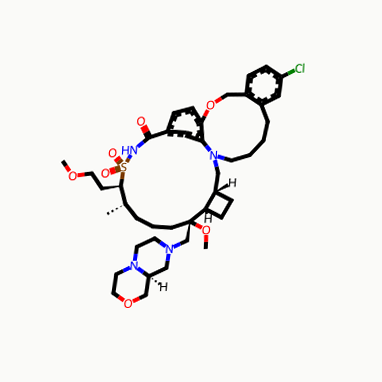 COCC[C@@H]1[C@@H](C)CCC[C@@](CN2CCN3CCOC[C@@H]3C2)(OC)[C@@H]2CC[C@H]2CN2CCCCc3cc(Cl)ccc3COc3ccc(cc32)C(=O)NS1(=O)=O